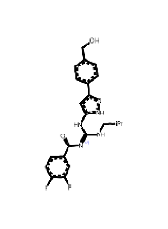 CC(C)CN/C(=N/C(=O)c1ccc(F)c(F)c1)Nc1cc(-c2ccc(CO)cc2)n[nH]1